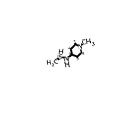 C=[SH]NC1CCN(C)CC1